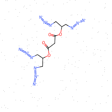 [N-]=[N+]=NCC(CN=[N+]=[N-])OC(=O)CC(=O)OC(CN=[N+]=[N-])CN=[N+]=[N-]